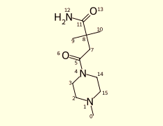 CN1CCN(C(=O)CC(C)(C)C(N)=O)CC1